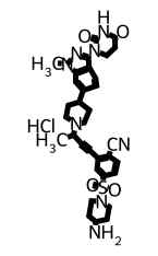 CC(C#Cc1cc(S(=O)(=O)N2CCC(N)CC2)ccc1C#N)N1CCC(c2ccc3c(N4CCC(=O)NC4=O)nn(C)c3c2)CC1.Cl